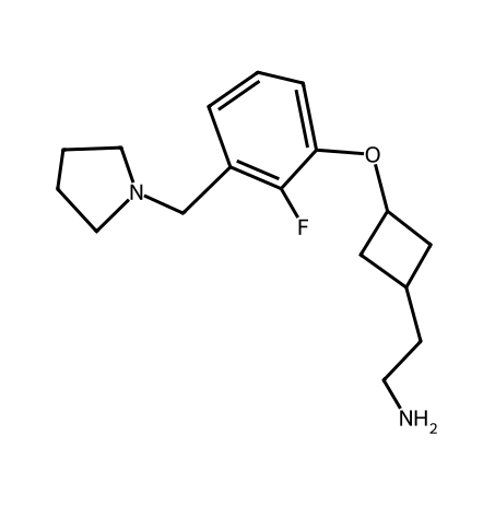 NCCC1CC(Oc2cccc(CN3CCCC3)c2F)C1